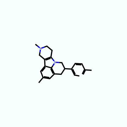 C=C(C)/C=C\C(=C/C)C1Cc2cc(C)cc3c4c(n(c23)C1)CCN(C)C4